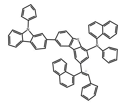 C(=C(\c1cc(N(c2ccccc2)c2cccc3ccccc23)c2sc3ccc(-c4ccc5c6ccccc6n(-c6ccccc6)c5c4)cc3c2c1)c1cccc2ccccc12)/c1ccccc1